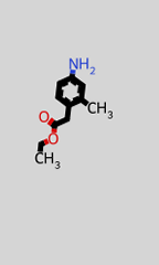 CCOC(=O)Cc1ccc(N)cc1C